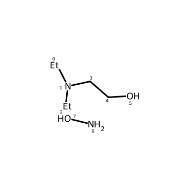 CCN(CC)CCO.NO